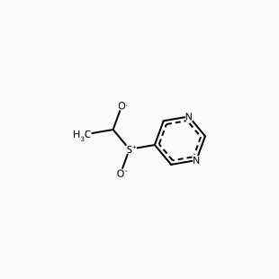 CC([O])[S+]([O-])c1cncnc1